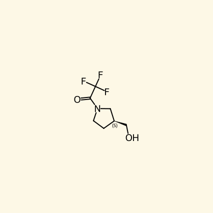 O=C(N1CC[C@H](CO)C1)C(F)(F)F